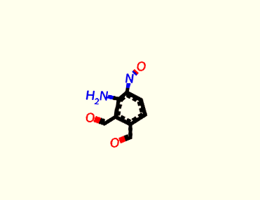 Nc1c(N=O)ccc(C=O)c1C=O